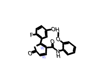 COc1ccccc1NC(=O)C(/C=C\C(C)=O)=C(/C)c1cc(O)ccc1F